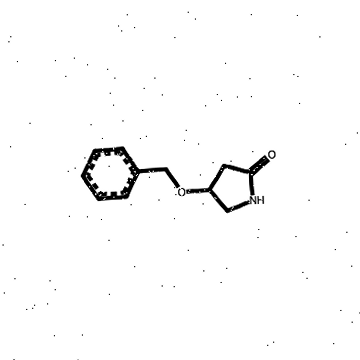 O=C1CC(OCc2ccccc2)CN1